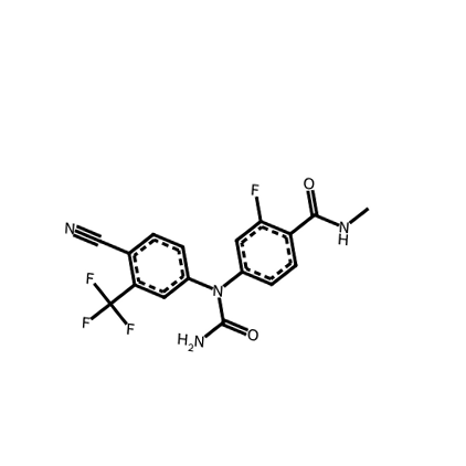 CNC(=O)c1ccc(N(C(N)=O)c2ccc(C#N)c(C(F)(F)F)c2)cc1F